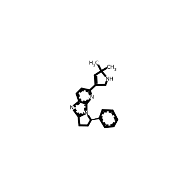 CC1(C)C=C(c2ccc3nc4n(c3n2)[C@@H](c2ccccc2)CC4)CN1